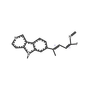 C=N/C(F)=C\C=C(/C)c1ccc2c3cnccc3n(C)c2c1